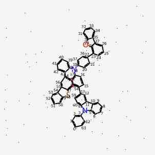 c1ccc(-n2c3ccccc3c3cc(-c4ccc(N(c5ccc(-c6cccc7c6oc6ccccc67)cc5)c5ccccc5-c5ccc6sc7ccccc7c6c5)cc4)ccc32)cc1